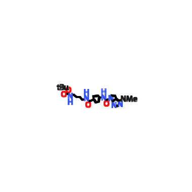 CNc1ncnc2c1ccn2C(=O)Nc1ccc(C(=O)NCCCCNC(=O)OC(C)(C)C)cc1